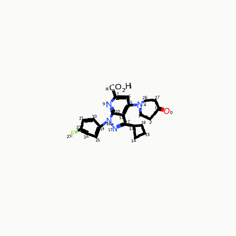 O=C1CCN(c2cc(C(=O)O)nc3c2c(C2CCC2)nn3-c2ccc(F)cc2)CC1